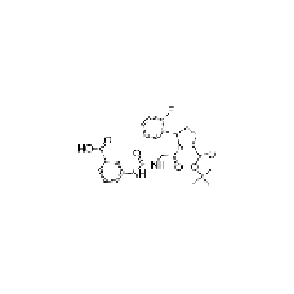 CC(C)(C)OC(=O)C1CCC(c2ccccc2F)N1C(=O)CNC(=O)Nc1cccc(C(=O)O)c1